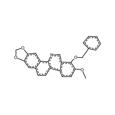 COc1ccc2c(cnc3c4cc5c(cc4ccc23)OCO5)c1OCc1ccccc1